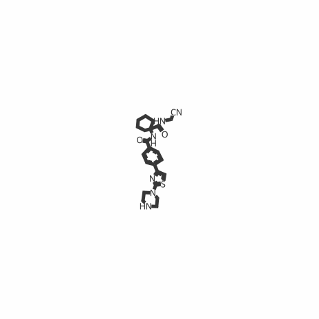 N#CCNC(=O)C1(NC(=O)c2ccc(-c3csc(N4CCNCC4)n3)cc2)CCCCC1